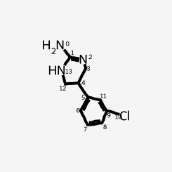 NC1=NCC(c2cccc(Cl)c2)CN1